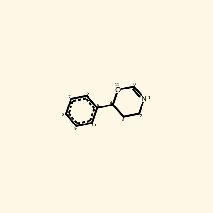 [C]1=NCCC(c2ccccc2)O1